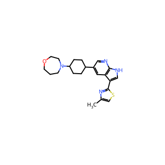 Cc1csc(-c2c[nH]c3ncc(C4CCC(N5CCCOCC5)CC4)cc23)n1